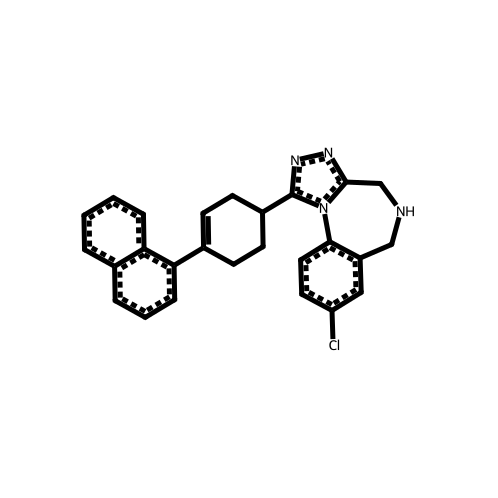 Clc1ccc2c(c1)CNCc1nnc(C3CC=C(c4cccc5ccccc45)CC3)n1-2